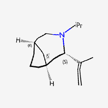 C=C(C)[C@@H]1[C@H]2C[C@H]2CN1C(C)C